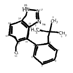 CC(C)(C)c1ccccc1-c1c(Cl)ccc2[nH]nnc12